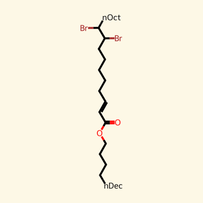 CCCCCCCCCCCCCCOC(=O)C=CCCCCCC(Br)C(Br)CCCCCCCC